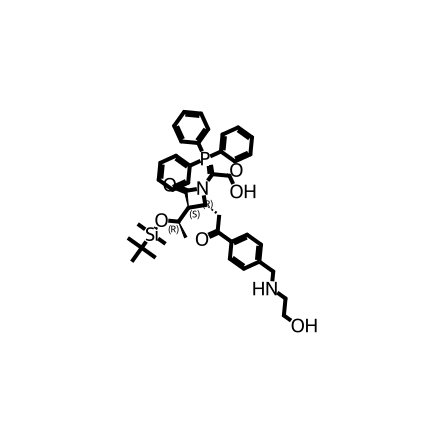 C[C@@H](O[Si](C)(C)C(C)(C)C)[C@H]1C(=O)N(C(C(=O)O)=P(c2ccccc2)(c2ccccc2)c2ccccc2)[C@@H]1CC(=O)c1ccc(CNCCO)cc1